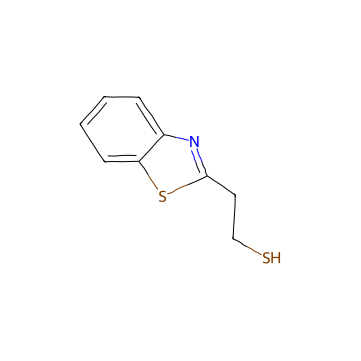 SCCc1nc2ccccc2s1